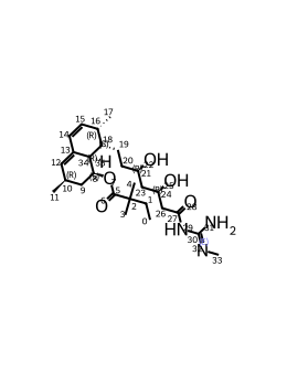 CCC(C)(C)C(=O)O[C@H]1C[C@@H](C)C=C2C=C[C@H](C)[C@H](CC[C@@H](O)C[C@@H](O)CC(=O)N/C(N)=N/C)[C@H]21